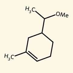 COC(C)C1CCC=C(C)C1